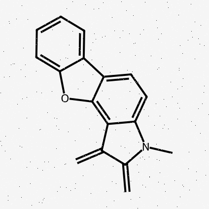 C=c1c(=C)n(C)c2ccc3c4ccccc4oc3c12